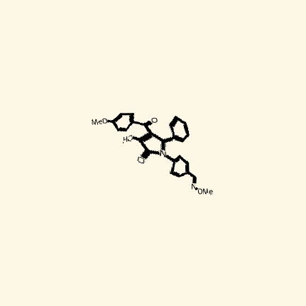 CON=Cc1ccc(N2C(=O)C(O)=C(C(=O)c3ccc(OC)cc3)C2c2ccccc2)cc1